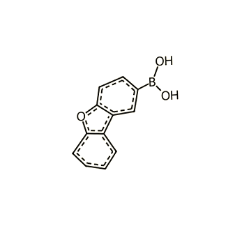 OB(O)c1ccc2oc3ccccc3c2c1